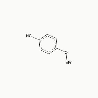 CCCOc1[c]cc(C#N)cc1